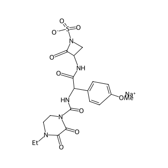 CCN1CCN(C(=O)NC(C(=O)NC2CN(S(=O)(=O)[O-])C2=O)c2ccc(OC)cc2)C(=O)C1=O.[Na+]